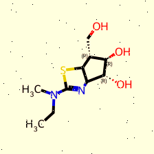 CCN(C)C1=NC2C(S1)[C@H](CO)[C@@H](O)[C@@H]2O